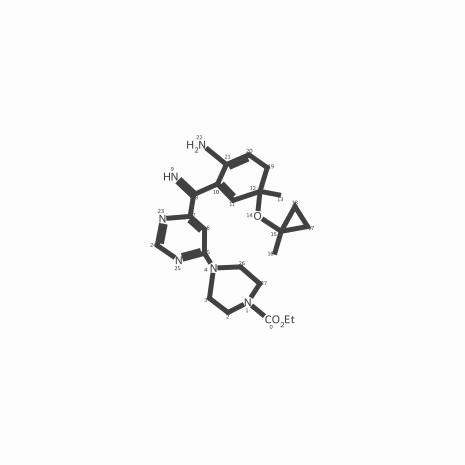 CCOC(=O)N1CCN(c2cc(C(=N)C3=CC(C)(OC4(C)CC4)CC=C3N)ncn2)CC1